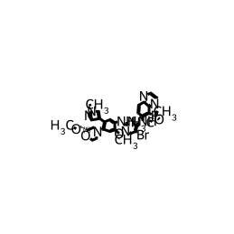 COC[C@@H]1CN(c2cc(OC)c(Nc3ncc(Br)c(Nc4ccc5nccnc5c4P(C)(C)=O)n3)cc2-c2cnn(C)c2)CCO1